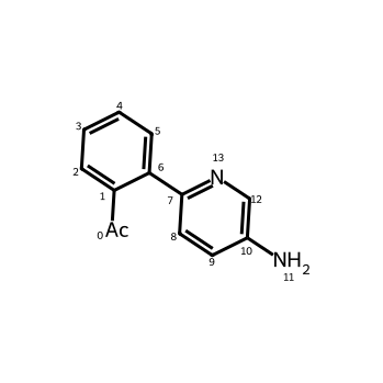 CC(=O)c1ccccc1-c1ccc(N)cn1